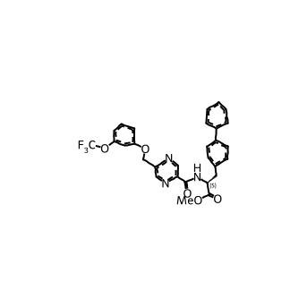 COC(=O)[C@H](Cc1ccc(-c2ccccc2)cc1)NC(=O)c1cnc(COc2cccc(OC(F)(F)F)c2)cn1